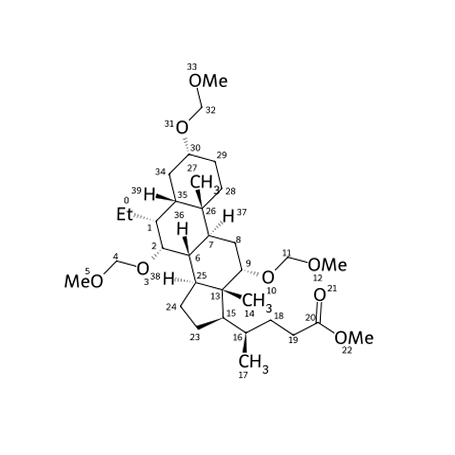 CC[C@H]1[C@@H](OCOC)[C@@H]2[C@H](C[C@H](OCOC)[C@]3(C)[C@@H]([C@H](C)CCC(=O)OC)CC[C@@H]23)[C@@]2(C)CC[C@@H](OCOC)C[C@@H]12